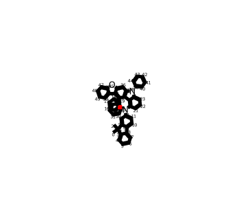 CC1(C)c2ccccc2-c2ccc(N(c3ccccc3)c3cccc4c3c3c(-c5ccccc5)c5c(cc3n4-c3ccccc3)oc3ccccc35)cc21